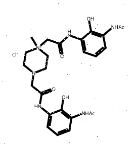 CC(=O)Nc1cccc(NC(=O)CN2CC[N+](C)(CC(=O)Nc3cccc(NC(C)=O)c3O)CC2)c1O.[Cl-]